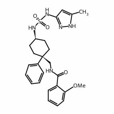 COc1ccccc1C(=O)NC[C@]1(c2ccccc2)CC[C@H](NS(=O)(=O)Nc2cc(C)[nH]n2)CC1